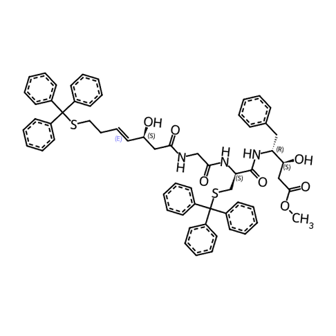 COC(=O)C[C@H](O)[C@@H](Cc1ccccc1)NC(=O)[C@@H](CSC(c1ccccc1)(c1ccccc1)c1ccccc1)NC(=O)CNC(=O)C[C@H](O)/C=C/CCSC(c1ccccc1)(c1ccccc1)c1ccccc1